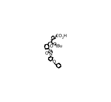 CC(C)(C)OC(=O)[C@@H](Cc1cccc(N2CCN(c3cccc(OCc4ccccc4)c3)C2=O)c1)[C@H]1CCN(C(=O)O)C1